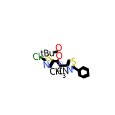 Cc1nc(Cl)sc1/C(OC(=O)C(C)(C)C)=C(\C#N)c1csc(-c2ccccc2)n1